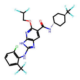 O=C(N[C@H]1CC[C@H](C(F)(F)F)CC1)c1cc2nc(Nc3c(Cl)cccc3C(F)(F)F)[nH]c2nc1OCC(F)F